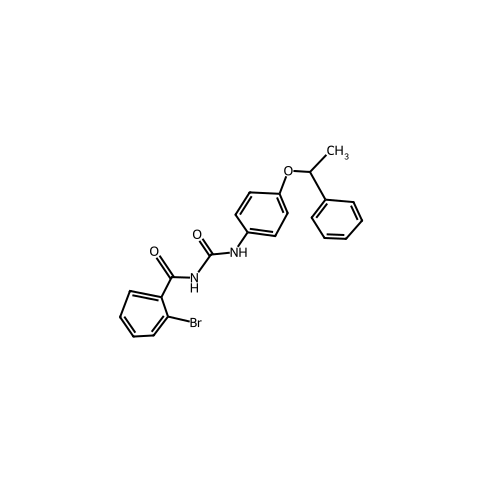 CC(Oc1ccc(NC(=O)NC(=O)c2ccccc2Br)cc1)c1ccccc1